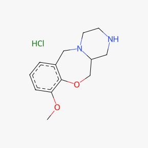 COc1cccc2c1OCC1CNCCN1C2.Cl